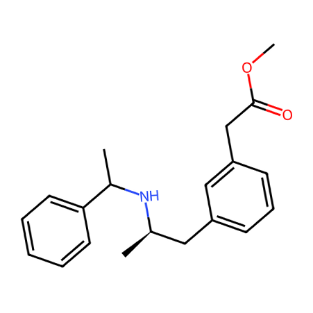 COC(=O)Cc1cccc(C[C@@H](C)NC(C)c2ccccc2)c1